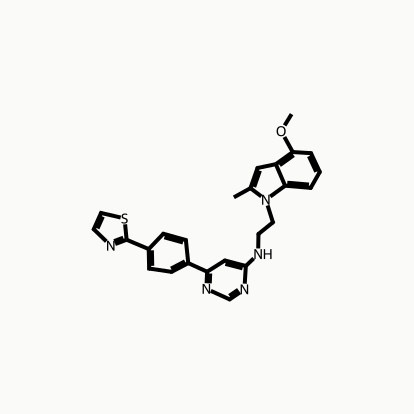 COc1cccc2c1cc(C)n2CCNc1cc(-c2ccc(-c3nccs3)cc2)ncn1